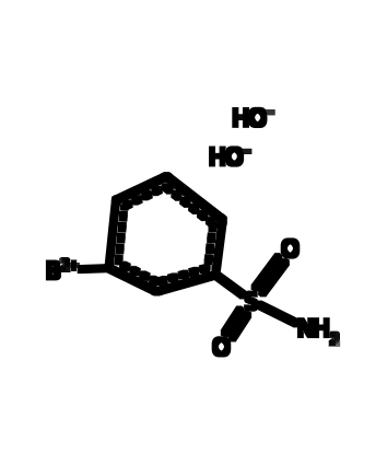 [B+2]c1cccc(S(N)(=O)=O)c1.[OH-].[OH-]